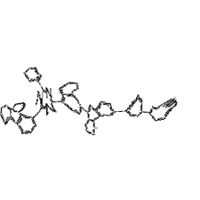 c1ccc(-c2ccc(-c3ccc4cc(-c5ccc(-c6nc(-c7ccccc7)nc(-c7cccc8c7oc7ccccc78)n6)c6ccccc56)c5ccccc5c4c3)cc2)cc1